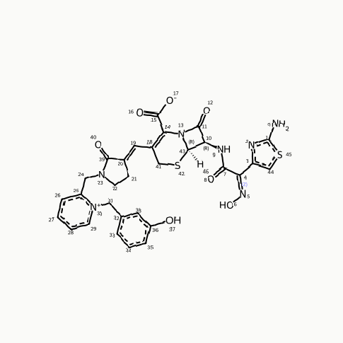 Nc1nc(/C(=N/O)C(=O)N[C@@H]2C(=O)N3C(C(=O)[O-])=C(C=C4CCN(Cc5cccc[n+]5Cc5cccc(O)c5)C4=O)CS[C@H]23)cs1